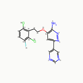 Nc1nnc(-c2cncnc2)cc1OCCc1c(Cl)ccc(F)c1Cl